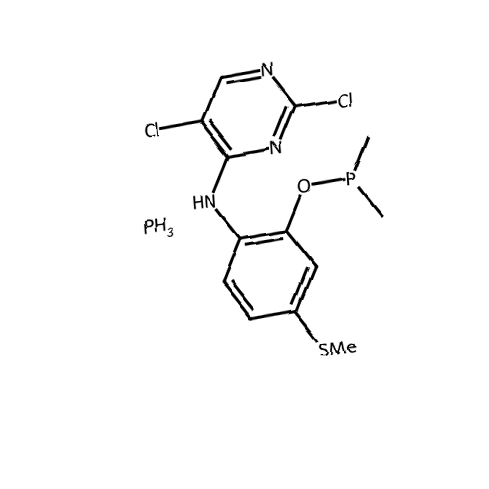 CSc1ccc(Nc2nc(Cl)ncc2Cl)c(OP(C)C)c1.P